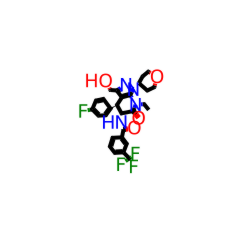 CCN1C(=O)[C@H](NC(=O)c2cccc(C(F)(F)F)c2)[C@H](c2ccc(F)cc2)c2c(CO)nn(C3CCOCC3)c21